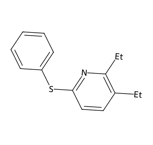 CCc1ccc(Sc2ccccc2)nc1CC